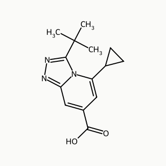 CC(C)(C)c1nnc2cc(C(=O)O)cc(C3CC3)n12